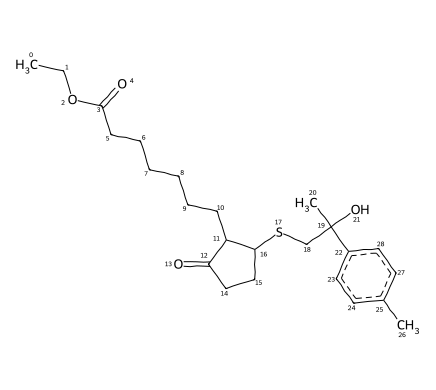 CCOC(=O)CCCCCCC1C(=O)CCC1SCC(C)(O)c1ccc(C)cc1